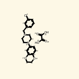 Clc1cccc(CN2CCN(c3ccc4c(c3)OCCO4)CC2)c1.O=C(O)C(=O)O